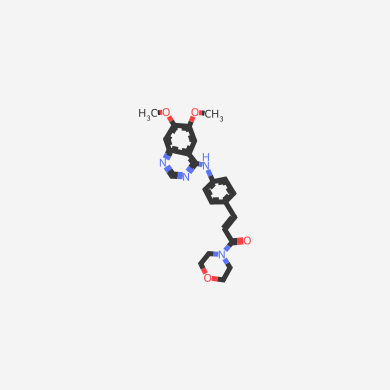 COc1cc2ncnc(Nc3ccc(C=CC(=O)N4CCOCC4)cc3)c2cc1OC